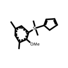 COc1c(C)cc(C)cc1[Si](C)(C)C1=CC=CC1